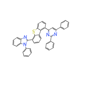 c1ccc(-c2cc(-c3cccc4sc5c(-c6nc7ccccc7n6-c6ccccc6)cccc5c34)nc(-c3ccccc3)n2)cc1